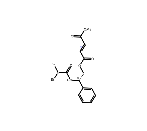 CCN(CC)C(=O)N[C@H](COC(=O)/C=C/C(=O)OC)c1ccccc1